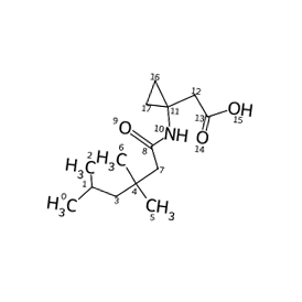 CC(C)CC(C)(C)CC(=O)NC1(CC(=O)O)CC1